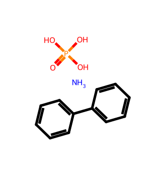 N.O=P(O)(O)O.c1ccc(-c2ccccc2)cc1